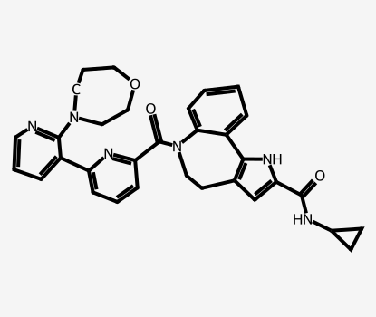 O=C(NC1CC1)c1cc2c([nH]1)-c1ccccc1N(C(=O)c1cccc(-c3cccnc3N3CCCOCC3)n1)CC2